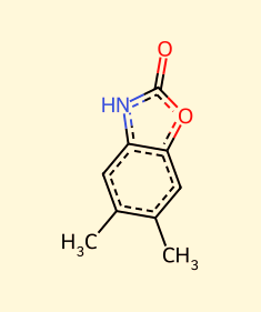 Cc1cc2[nH]c(=O)oc2cc1C